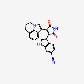 N#Cc1ccc2c(C3=C(c4cn5c6c(cccc46)CCC5)C(=O)NC3=O)c[nH]c2c1